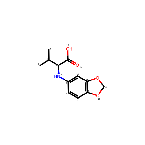 CC(C)[C@H](Nc1ccc2c(c1)OCO2)C(=O)O